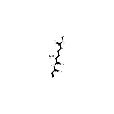 C=CC(=O)OC(=O)CCCCC(=O)OC.[NaH]